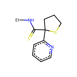 CCNC(=S)C1(c2ccccn2)CCCS1